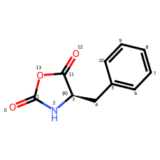 O=C1N[C@H](Cc2ccccc2)C(=O)O1